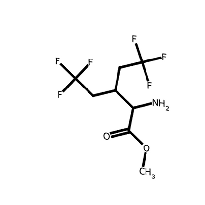 COC(=O)C(N)C(CC(F)(F)F)CC(F)(F)F